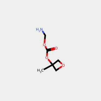 CC1(OC(=O)OCN)COC1